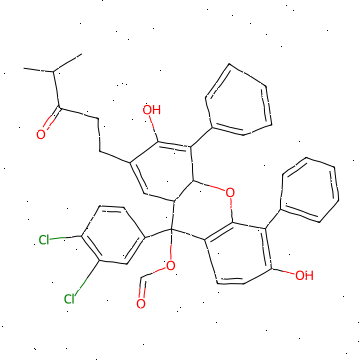 CC(C)C(=O)CCC1=CC2C(Oc3c(ccc(O)c3-c3ccccc3)C2(OC=O)c2ccc(Cl)c(Cl)c2)C(c2ccccc2)=C1O